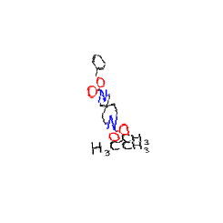 CC(C)(C)OC(=O)N1CCC2(CC1)CN(C(=O)OCc1ccccc1)C2